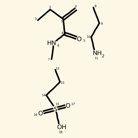 C=C(CC)C(=O)NC.CCCN.CCCS(=O)(=O)O